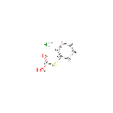 Cl.O=C(O)Sc1ccccc1